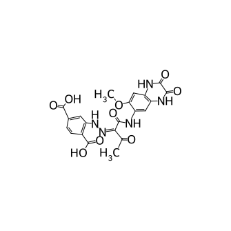 COc1cc2[nH]c(=O)c(=O)[nH]c2cc1NC(=O)/C(=N\Nc1cc(C(=O)O)ccc1C(=O)O)C(C)=O